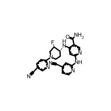 N#Cc1ccc(N2CC[C@@H](Nc3cc(Nc4cc(C#N)ccn4)ncc3C(N)=O)[C@@H](F)C2)nc1